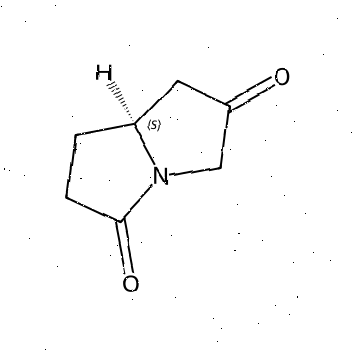 O=C1C[C@@H]2CCC(=O)N2C1